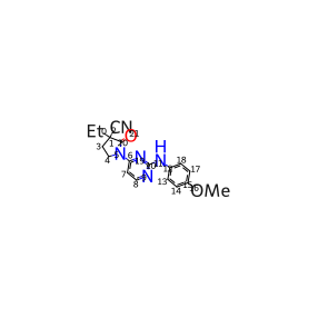 CCC1(C#N)CCN(c2ccnc(Nc3ccc(OC)cc3)n2)C1=O